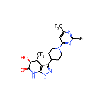 CC(C)c1nc(N2CCC(c3n[nH]c4c3[C@@H](C(F)(F)F)[C@H](O)C(=O)N4)CC2)cc(C(F)(F)F)n1